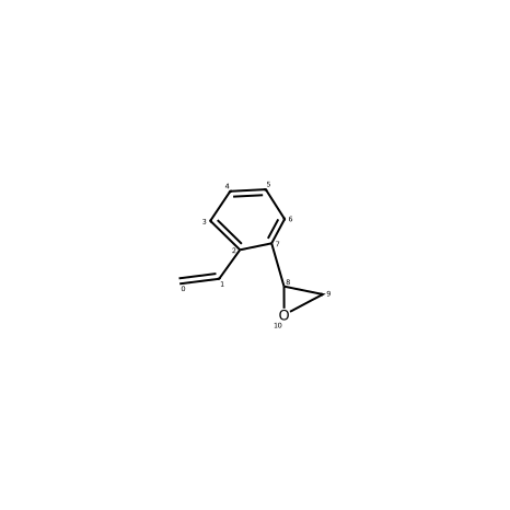 C=Cc1ccccc1C1CO1